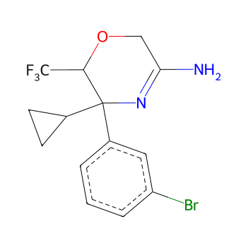 NC1=NC(c2cccc(Br)c2)(C2CC2)C(C(F)(F)F)OC1